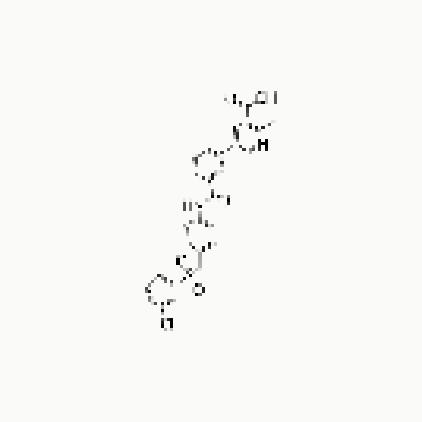 Cc1ncc(-c2cccc(C(=O)Nc3ccc(CS(=O)(=O)c4cccc(Cl)c4)cc3)c2)cc1C(=O)O